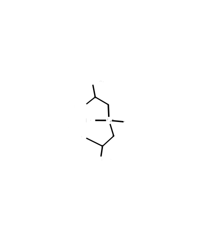 CCCCCCCCCCC(C)C[N+](C)(C)CC(C)CCCCCCCCCC.[Cl-]